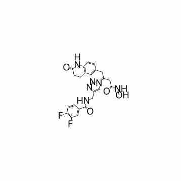 O=C(CC(Cc1ccc2c(c1)CCC(=O)N2)n1cc(CNC(=O)c2ccc(F)c(F)c2)nn1)NO